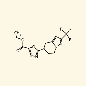 CCOC(=O)c1nnc(N2CCn3nc(C(F)(F)F)cc3C2)o1